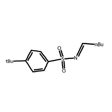 CCCCC=NS(=O)(=O)c1ccc(C(C)(C)C)cc1